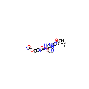 CC(C)C(=O)N1CCC(NC2NCCC(C(=O)NC[C@H](O)CN3CCc4cc(OCc5cnco5)ccc4C3)C23CCCCCCCCC3)CC1